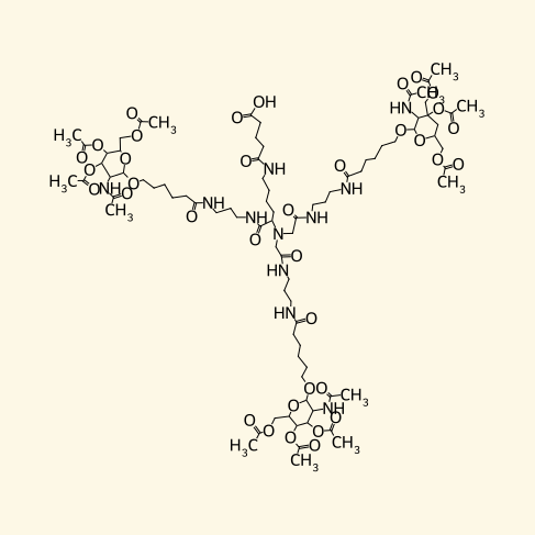 CC(=O)NC1C(OCCCCCC(=O)NCCCNC(=O)CN(CC(=O)NCCCNC(=O)CCCCCOC2OC(COC(C)=O)CC(COC(C)=O)(OC(C)=O)C2NC(C)=O)C(CCCCNC(=O)CCCC(=O)O)C(=O)NCCCNC(=O)CCCCCOC2OC(COC(C)=O)C(OC(C)=O)C(OC(C)=O)C2NC(C)=O)OC(COC(C)=O)C(OC(C)=O)C1OC(C)=O